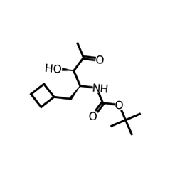 CC(=O)[C@H](O)[C@H](CC1CCC1)NC(=O)OC(C)(C)C